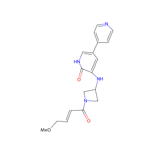 COC/C=C/C(=O)N1CC(Nc2cc(-c3ccncc3)c[nH]c2=O)C1